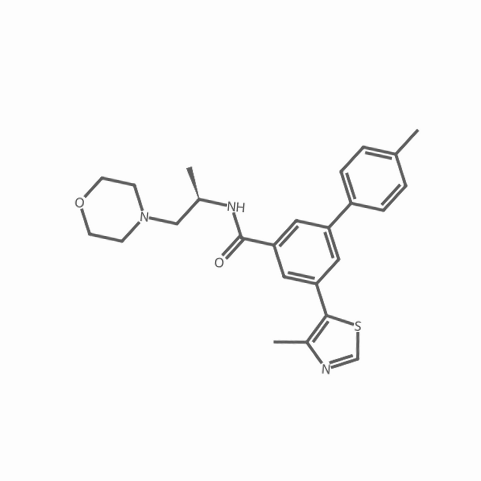 Cc1ccc(-c2cc(C(=O)N[C@H](C)CN3CCOCC3)cc(-c3scnc3C)c2)cc1